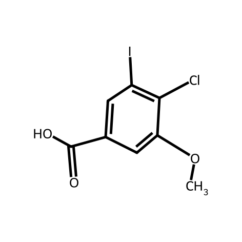 COc1cc(C(=O)O)cc(I)c1Cl